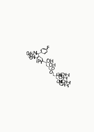 CC(C)c1nc(N(C)S(C)(=O)=O)nc(-c2ccc(F)cc2)c1/C=C/C(O)CC(O)CC(=O)OCCC(CCON(O)O)ON(O)O